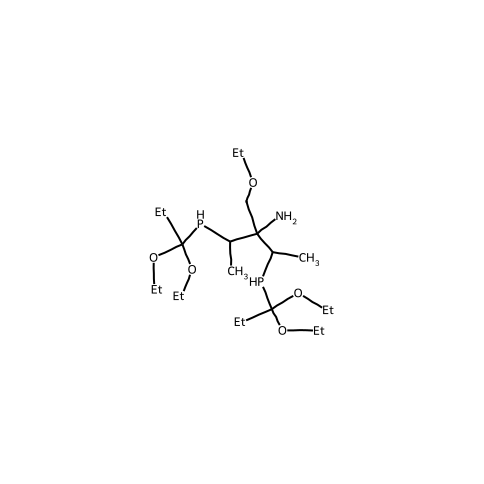 CCOCC(N)(C(C)PC(CC)(OCC)OCC)C(C)PC(CC)(OCC)OCC